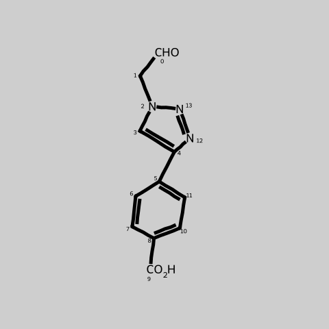 O=CCn1cc(-c2ccc(C(=O)O)cc2)nn1